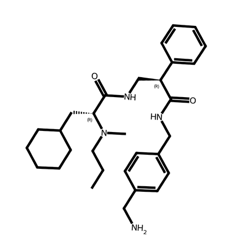 CCCN(C)[C@H](CC1CCCCC1)C(=O)NC[C@H](C(=O)NCc1ccc(CN)cc1)c1ccccc1